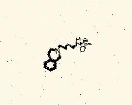 CS(=O)(=O)NCCCCN1CCc2ccccc2C1